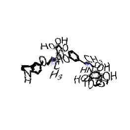 C/C(=C\c1ccc(O[C@@H]2O[C@H](/C(C)=C/COc3ccc4[nH]ccc4c3)[C@@H](O)[C@@H]2O)c(O)c1)C(=O)N[C@@H]1[C@H](O)[C@@H](O)[C@H]2OCO[C@H]2[C@@H]1O